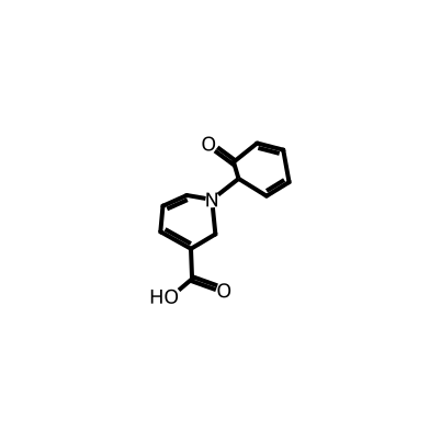 O=C(O)C1=CC=CN(C2C=CC=CC2=O)C1